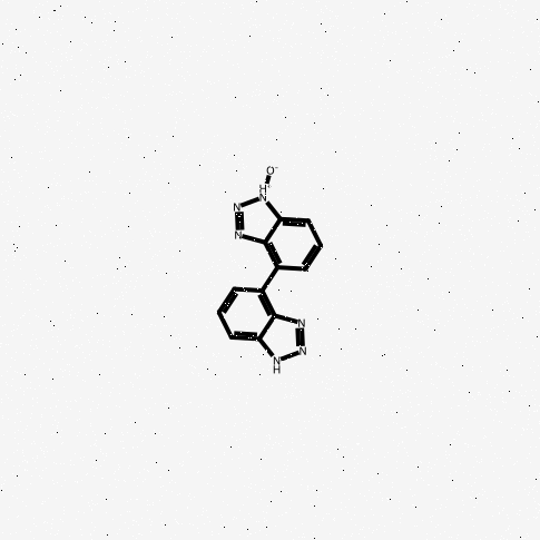 [O-][NH+]1N=Nc2c(-c3cccc4[nH]nnc34)cccc21